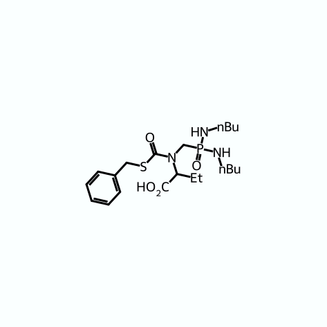 CCCCNP(=O)(CN(C(=O)SCc1ccccc1)C(CC)C(=O)O)NCCCC